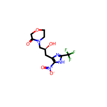 O=C1COCCN1C[C@@H](O)Cc1nc(C(F)(F)F)[nH]c1[N+](=O)[O-]